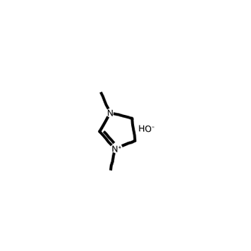 CN1C=[N+](C)CC1.[OH-]